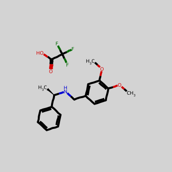 COc1ccc(CN[C@H](C)c2ccccc2)cc1OC.O=C(O)C(F)(F)F